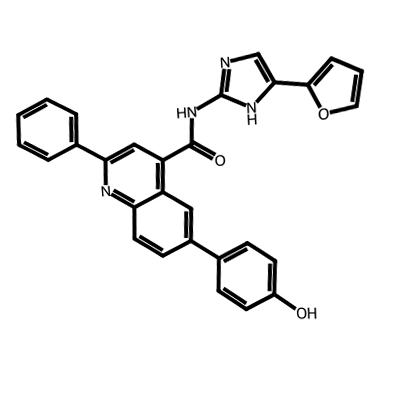 O=C(Nc1ncc(-c2ccco2)[nH]1)c1cc(-c2ccccc2)nc2ccc(-c3ccc(O)cc3)cc12